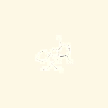 CCCC(N)(CCC)[C@@H]1CCCC[C@@]1(O)Cc1cc(Cl)ccc1F